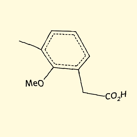 COc1c(C)cccc1CC(=O)O